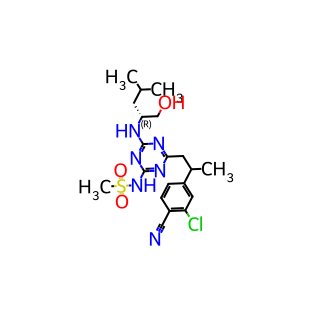 CC(C)C[C@H](CO)Nc1nc(CC(C)c2ccc(C#N)c(Cl)c2)nc(NS(C)(=O)=O)n1